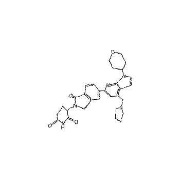 O=C1CCC(N2Cc3cc(-c4cc(CN5CCCC5)c5ccn(C6CCOCC6)c5n4)ccc3C2=O)C(=O)N1